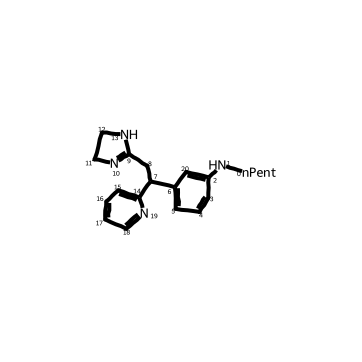 CCCCCNc1cccc(C(CC2=NCCN2)c2ccccn2)c1